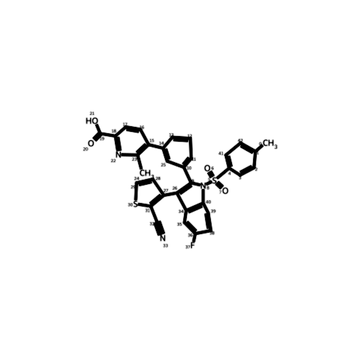 Cc1ccc(S(=O)(=O)n2c(-c3cccc(-c4ccc(C(=O)O)nc4C)c3)c(-c3ccsc3C#N)c3cc(F)ccc32)cc1